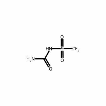 NC(=O)NS(=O)(=O)C(F)(F)F